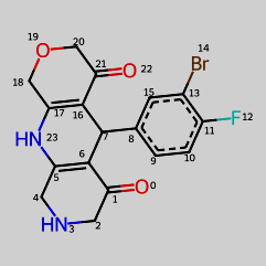 O=C1CNCC2=C1C(c1ccc(F)c(Br)c1)C1=C(COCC1=O)N2